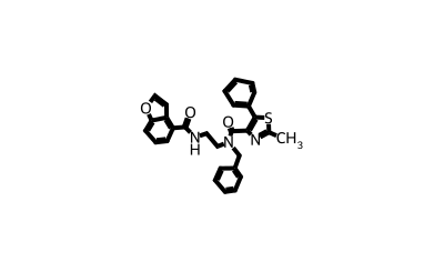 Cc1nc(C(=O)N(CCNC(=O)c2cccc3occc23)Cc2ccccc2)c(-c2ccccc2)s1